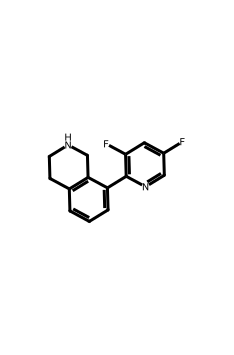 Fc1cnc(-c2cccc3c2CNCC3)c(F)c1